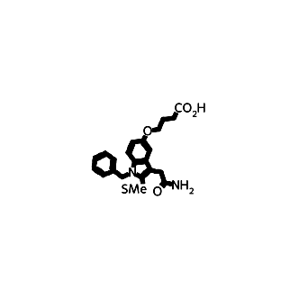 CSc1c(CC(N)=O)c2cc(OCCCC(=O)O)ccc2n1Cc1ccccc1